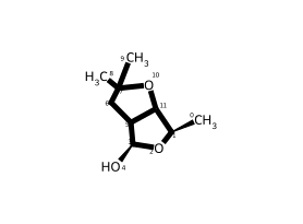 C[C@H]1O[C@@H](O)C2CC(C)(C)OC21